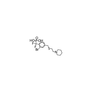 O=P(O)(O)C(F)(F)c1ccc(CSCCN2CCCCC2)cc1Br